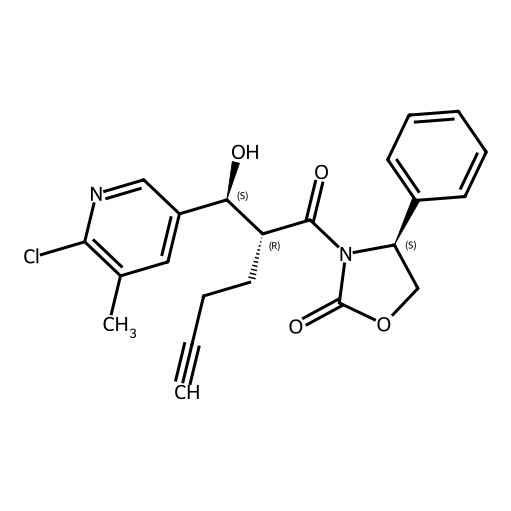 C#CCC[C@@H](C(=O)N1C(=O)OC[C@@H]1c1ccccc1)[C@H](O)c1cnc(Cl)c(C)c1